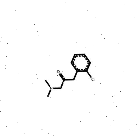 CN(C)CC(=O)Cc1ccccc1Cl